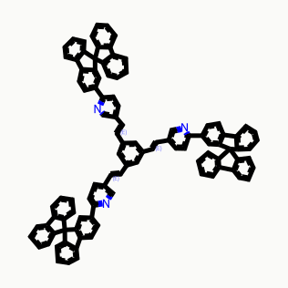 C(=C\c1cc(/C=C/c2ccc(-c3ccc4c(c3)C3(c5ccccc5-c5ccccc53)c3ccccc3-4)nc2)cc(/C=C/c2ccc(-c3ccc4c(c3)C3(c5ccccc5-c5ccccc53)c3ccccc3-4)nc2)c1)/c1ccc(-c2ccc3c(c2)C2(c4ccccc4-c4ccccc42)c2ccccc2-3)nc1